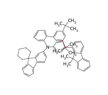 CC(C)(C)c1cc(-c2ccccc2N(c2ccc(-c3cccc4c3C(C)(C)c3ccccc3-4)cc2)c2ccc3c(c2)C2(CCCCC2)c2ccccc2-3)cc(C(C)(C)C)c1